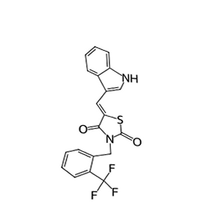 O=C1SC(=Cc2c[nH]c3ccccc23)C(=O)N1Cc1ccccc1C(F)(F)F